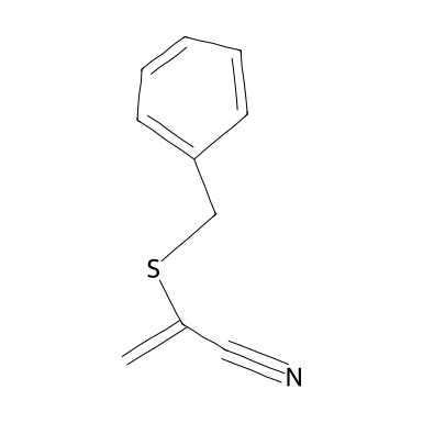 C=C(C#N)SCc1ccccc1